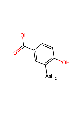 O=C(O)c1ccc(O)c([AsH2])c1